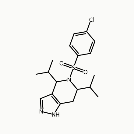 CC(C)C1Cc2[nH]ncc2C(C(C)C)N1S(=O)(=O)c1ccc(Cl)cc1